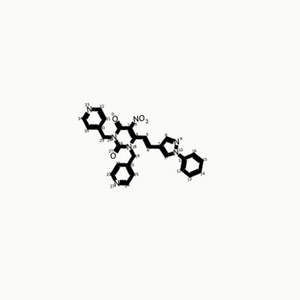 O=c1c([N+](=O)[O-])c(C=Cc2cnn(-c3ccccc3)c2)n(Cc2ccncc2)c(=O)n1Cc1ccncc1